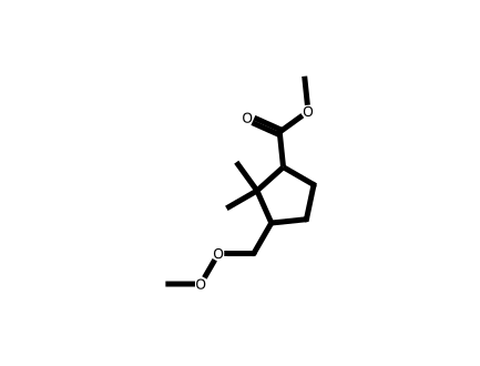 COOCC1CCC(C(=O)OC)C1(C)C